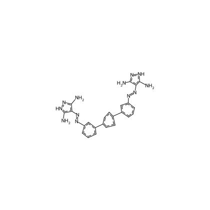 Nc1n[nH]c(N)c1N=Nc1cccc(-c2ccc(-c3cccc(N=Nc4c(N)n[nH]c4N)c3)cc2)c1